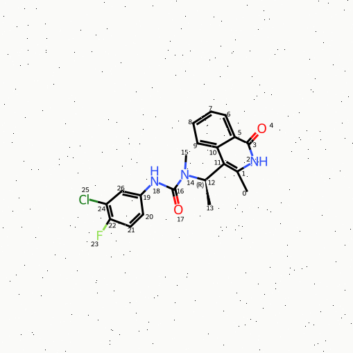 Cc1[nH]c(=O)c2ccccc2c1[C@@H](C)N(C)C(=O)Nc1ccc(F)c(Cl)c1